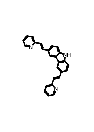 C(=Cc1ccccn1)c1ccc2[nH]c3ccc(C=Cc4ccccn4)cc3c2c1